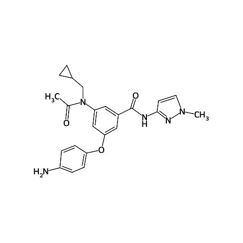 CC(=O)N(CC1CC1)c1cc(Oc2ccc(N)cc2)cc(C(=O)Nc2ccn(C)n2)c1